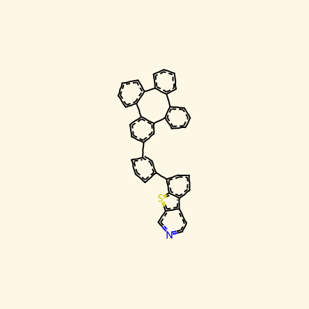 c1cc(-c2ccc3c(c2)-c2ccccc2-c2ccccc2-c2ccccc2-3)cc(-c2cccc3c2sc2cnccc23)c1